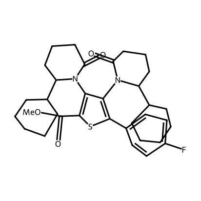 COC(=O)c1sc(-c2ccc(F)cc2)c(N2C(=O)CCCC2C2CCCCC2)c1N1C(=O)CCCC1C1CCCCC1